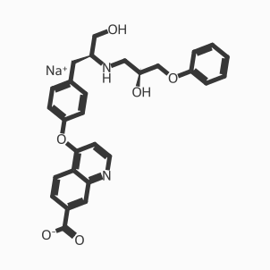 O=C([O-])c1ccc2c(Oc3ccc(C[C@@H](CO)NC[C@H](O)COc4ccccc4)cc3)ccnc2c1.[Na+]